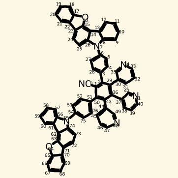 N#Cc1c(-c2ccc(-n3c4ccccc4c4c5oc6ccccc6c5ccc43)cc2)c(-c2cccnc2)c(-c2cccnc2)c(-c2cccnc2)c1-c1ccc(-n2c3ccccc3c3c4oc5ccccc5c4ccc32)cc1